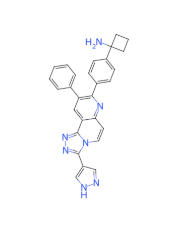 NC1(c2ccc(-c3nc4ccn5c(-c6cn[nH]c6)nnc5c4cc3-c3ccccc3)cc2)CCC1